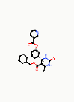 CCC1=C(C(=O)OCC2CCCCC2)[C@H](c2cccc(OC(=O)c3cccnc3)c2)NC(=O)N1